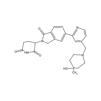 C[P]1(O)CCN(Cc2ccnc(-c3ccc4c(c3)CN(C3CCC(=O)NC3=O)C4=O)c2)CC1